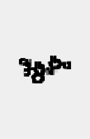 O=NC(=O)c1ncc(NC2=CC(Cl)CN=C2)c2c1CCCC2